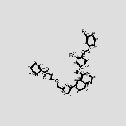 O=S(=O)(CCOCc1nc(-c2ccc3ncnc(Nc4ccc(OCc5cccc(F)c5)c(Br)c4)c3c2)cs1)c1ccccn1